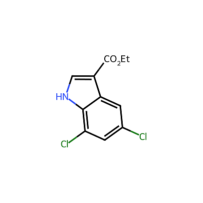 CCOC(=O)c1c[nH]c2c(Cl)cc(Cl)cc12